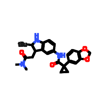 CN(C)C(=O)CC1c2cc(NC(=O)C3(c4ccc5c(c4)OCO5)CC3)ccc2NC1C(C)(C)C